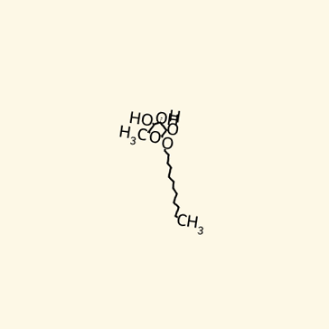 CCCCCCCCCCCCOC1O[C@H](C)[C@@H](O)[C@H](O)[C@@H]1O